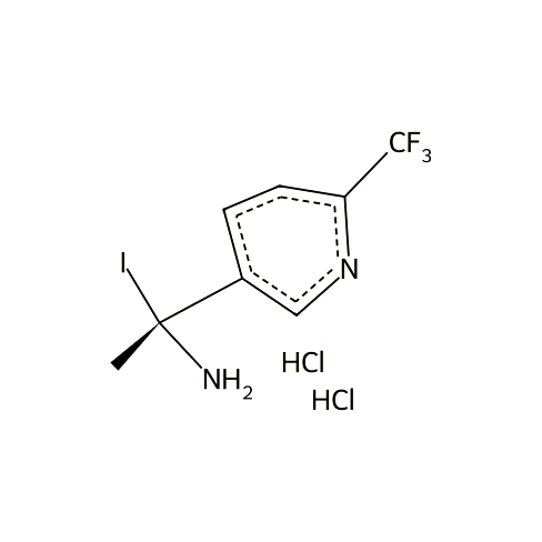 C[C@@](N)(I)c1ccc(C(F)(F)F)nc1.Cl.Cl